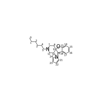 CCCCCCN1CCC2(CC1)Oc1ccccc1C2n1cccc1